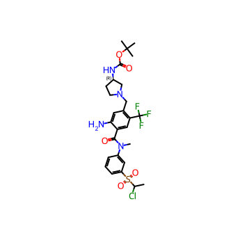 CC(Cl)S(=O)(=O)c1cccc(N(C)C(=O)c2cc(C(F)(F)F)c(CN3CC[C@@H](NC(=O)OC(C)(C)C)C3)cc2N)c1